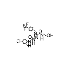 Cc1cc(Cl)ccc1NC(=O)Nc1cn(Cc2ccc(C(F)(F)F)cc2)c(C(=O)NCCO)n1